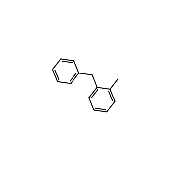 Cc1ccccc1Cc1[c]cccc1